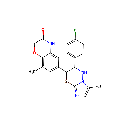 CC1=CN=C2SC(c3cc(C)c4c(c3)NC(=O)CO4)C(c3ccc(F)cc3)N[N+]12